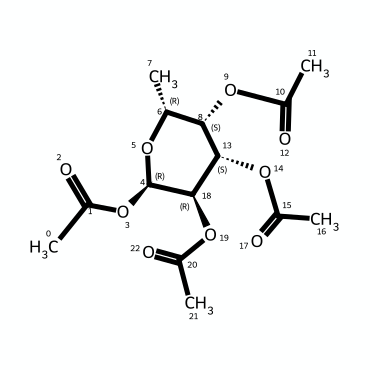 CC(=O)O[C@H]1O[C@H](C)[C@H](OC(C)=O)[C@H](OC(C)=O)[C@H]1OC(C)=O